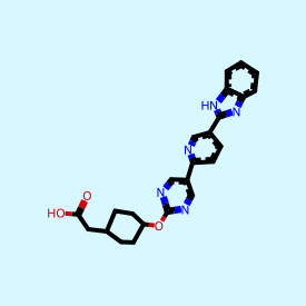 O=C(O)CC1CCC(Oc2ncc(-c3ccc(-c4nc5ccccc5[nH]4)cn3)cn2)CC1